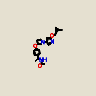 CC(=O)N[C@@H](C)c1ccc(O[C@@H]2CCN(c3ccnc(OCC4CC4C)c3)C2)cc1